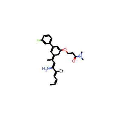 C\C=C/C=C(CC)/C(N)=C/C(C)=C1/C=C(c2cccc(F)c2)C=C(OCCC(=O)N(C)C)C1